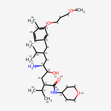 COCCCOc1cc(CC(C[C@H](N)C(O)CC(C(=O)NC2CCOCC2)C(C)C)C(C)C)ccc1C